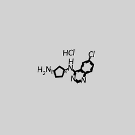 Cl.N[C@H]1CC[C@H](Nc2ncnc3ccc(Cl)cc23)C1